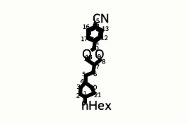 CCCCCCC1CCC(CCC2COC(c3ccc(C#N)cc3)OC2)CC1